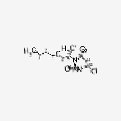 CCCCOC[C@@H](C)n1c(=O)cc(Cl)[nH]c1=O